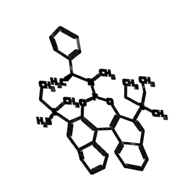 BS(C)(CC)c1cc2ccccc2c2c1op(N(C)[C@@H](C)c1ccccc1)oc1c(S(C)(CC)CC)cc3ccccc3c12